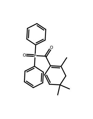 CC1=C(C(=O)P(=O)(c2ccccc2)c2ccccc2)C=CC(C)(C)C1